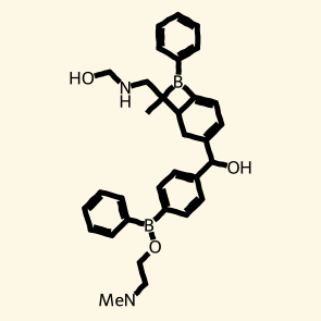 CNCCOB(c1ccccc1)c1ccc(C(O)C2=CC=C3B(c4ccccc4)C(C)(CNCO)C3C2)cc1